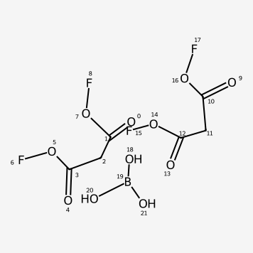 O=C(CC(=O)OF)OF.O=C(CC(=O)OF)OF.OB(O)O